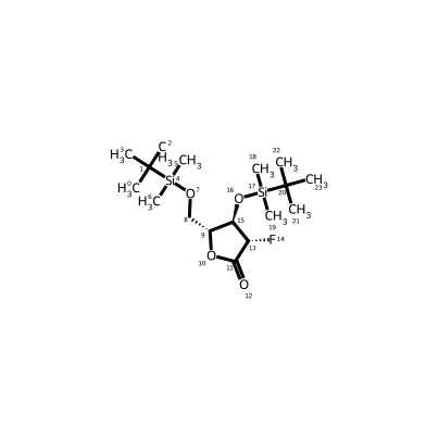 CC(C)(C)[Si](C)(C)OC[C@H]1OC(=O)[C@@H](F)[C@@H]1O[Si](C)(C)C(C)(C)C